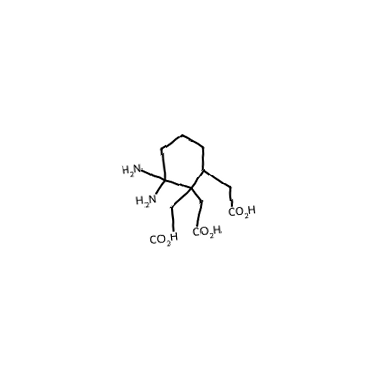 NC1(N)CCCC(CC(=O)O)C1(CC(=O)O)CC(=O)O